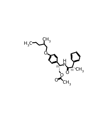 CCCC(C)COc1ccc([C@@H](COC(C)=O)NC(=O)[C@@H](C)c2ccccc2)cc1